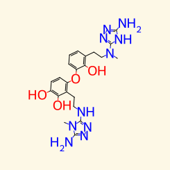 CN(CCc1cccc(Oc2ccc(O)c(O)c2CCNc2nnc(N)n2C)c1O)c1nnc(N)[nH]1